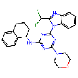 FC(F)c1nc2ccccc2n1-c1nc(N[C@H]2CCCc3ccccc32)nc(N2CCOCC2)n1